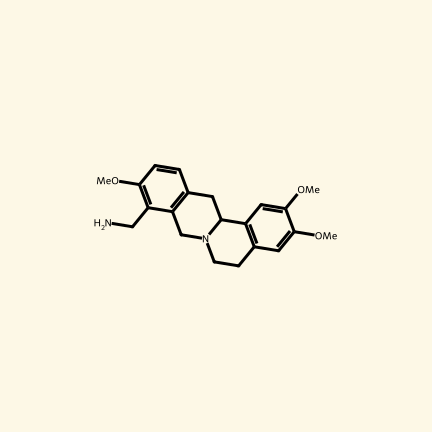 COc1cc2c(cc1OC)C1Cc3ccc(OC)c(CN)c3CN1CC2